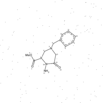 COC(=O)C1CN(Cc2ccccc2)CC(=O)N1N